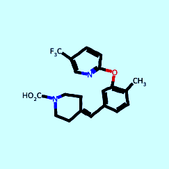 Cc1ccc(C=C2CCN(C(=O)O)CC2)cc1Oc1ccc(C(F)(F)F)cn1